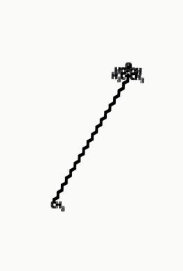 CCCCCCCCCCCCCCCCCCCCCCCCCCCCCCCCCCCC(C)(C)P(=O)(O)O